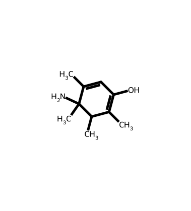 CC1=CC(O)=C(C)C(C)C1(C)N